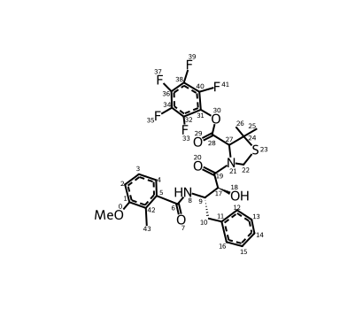 COc1cccc(C(=O)N[C@@H](Cc2ccccc2)[C@H](O)C(=O)N2CSC(C)(C)C2C(=O)Oc2c(F)c(F)c(F)c(F)c2F)c1C